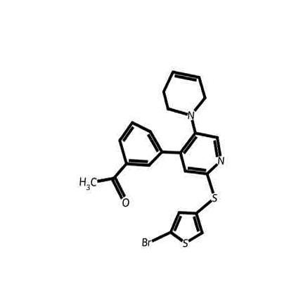 CC(=O)c1cccc(-c2cc(Sc3csc(Br)c3)ncc2N2CC=CCC2)c1